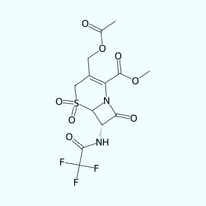 COC(=O)C1=C(COC(C)=O)CS(=O)(=O)C2[C@@H](NC(=O)C(F)(F)F)C(=O)N12